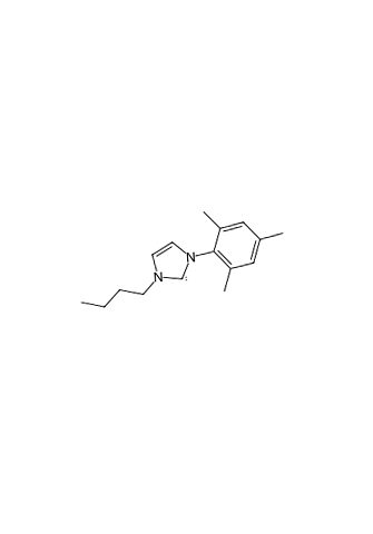 CCCCN1[C]N(c2c(C)cc(C)cc2C)C=C1